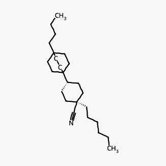 CCCCCC[C@]1(C#N)CC[C@H](C23CCC(CCCC)(CC2)CC3)CC1